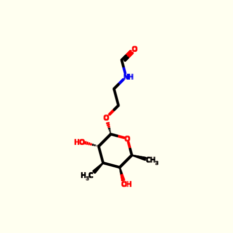 C[C@H]1[C@H](O)[C@H](OCCNC=O)O[C@@H](C)[C@H]1O